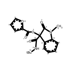 CN1C(=O)C(OC(=O)c2ccco2)(C(=O)NC(C)(C)C)c2ccccc21